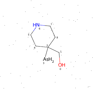 OCC1([AsH2])CCNCC1